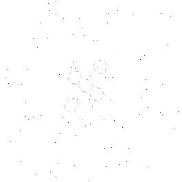 COc1ccc(-c2c3ccccc3c(-c3c(F)c(F)c(OC)c(F)c3F)c3ccc(F)cc23)cc1